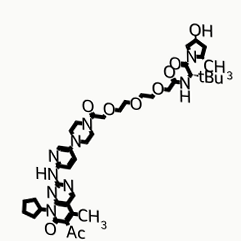 CC(=O)c1c(C)c2cnc(Nc3ccc(N4CCN(C(=O)COCCOCCOCC(=O)N[C@H](C(=O)N5C[C@H](O)C[C@H]5C)C(C)(C)C)CC4)cn3)nc2n(C2CCCC2)c1=O